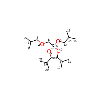 CC(C)COC[Si](OCC(C)C)(OCC(C)C)OCC(C)C